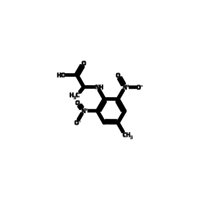 Cc1cc([N+](=O)[O-])c(NC(C)C(=O)O)c([N+](=O)[O-])c1